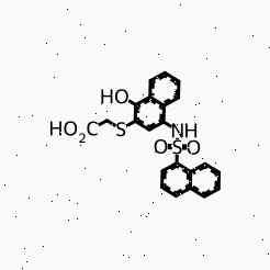 O=C(O)CSc1cc(NS(=O)(=O)c2cccc3ccccc23)c2ccccc2c1O